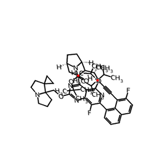 CC(C)[Si](C#Cc1c(F)ccc2cccc(-c3nc4c5c(nc(OCC67CCCN6CCC76CC6)nc5c3F)N3C[C@H]5CC[C@@H]([C@H]3[C@H](C)O4)N5C(=O)OC(C)(C)C)c12)(C(C)C)C(C)C